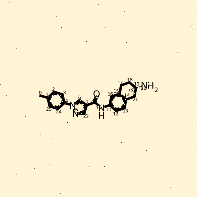 Cc1ccc(-n2cc(C(=O)Nc3ccc4c(c3)CC[C@H](N)C4)cn2)cc1